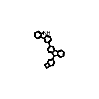 c1ccc2c(c1)-c1cc(-c3ccc4[nH]c5ccccc5c4c3)ccc1C2c1ccc2c(c1)CC2